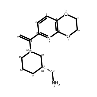 C=C(c1ccc2c(n1)OCCO2)N1CCC[C@@H](CN)C1